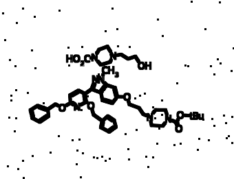 Cn1nc(-c2ccc(OCc3ccccc3)nc2OCc2ccccc2)c2ccc(OCCCN3CCN(C(=O)OC(C)(C)C)CC3)cc21.O=C(O)N1CCN(CCCO)CC1